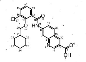 O=C(O)c1cnc2cc(NC(=O)c3cccc(Cl)c3OCC3CCCCC3)ccc2c1